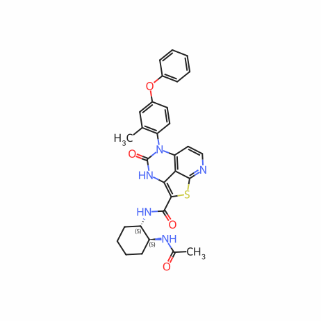 CC(=O)N[C@H]1CCCC[C@@H]1NC(=O)c1sc2nccc3c2c1NC(=O)N3c1ccc(Oc2ccccc2)cc1C